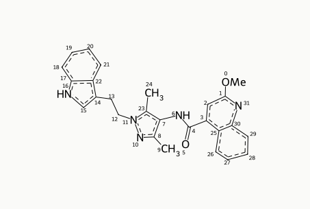 COc1cc(C(=O)Nc2c(C)nn(CCc3c[nH]c4ccccc34)c2C)c2ccccc2n1